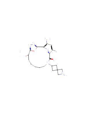 CC(=O)N1CC2(CC(N3CCCCC[C@](O)(C(F)(F)F)c4nnc(o4)-c4nc(c(C(F)(F)F)cc4N)C3=O)C2)C1